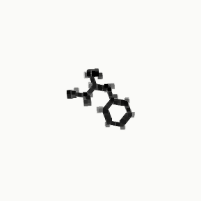 CCN/C(C)=N\c1ccccc1